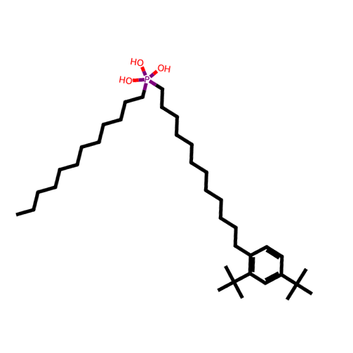 CCCCCCCCCCCCP(O)(O)(O)CCCCCCCCCCCCc1ccc(C(C)(C)C)cc1C(C)(C)C